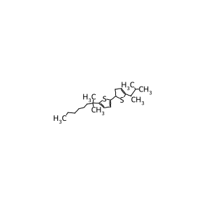 CCCCCCC(C)(C)c1ccc(C2CC=C([C@H](C)C(C)C)S2)s1